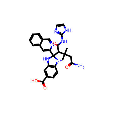 CC(C)(CC(N)=O)C(C(=O)Nc1ncc[nH]1)C1(c2cc3ccccc3cn2)Nc2ccc(C(=O)O)cc2N1